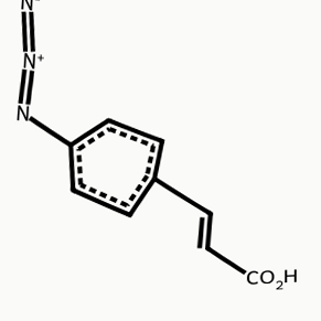 [N-]=[N+]=Nc1ccc(/C=C/C(=O)O)cc1